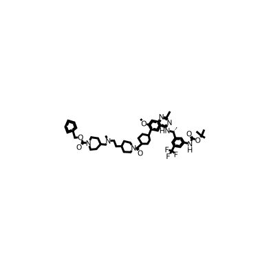 COc1cc2nc(C)nc(N[C@H](C)c3cc(NC(=O)OC(C)(C)C)cc(C(F)(F)F)c3)c2cc1C1CCC(C(=O)N2CCC(CCN(C)CC3CCN(C(=O)OCc4ccccc4)CC3)CC2)CC1